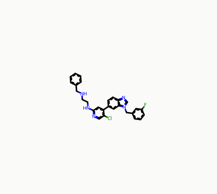 Fc1cccc(Cn2cnc3ccc(-c4cc(NCCNCc5ccccc5)ncc4Cl)cc32)c1